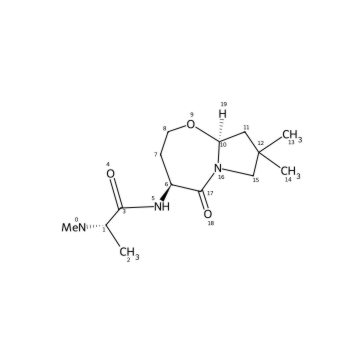 CN[C@@H](C)C(=O)N[C@H]1CCO[C@H]2CC(C)(C)CN2C1=O